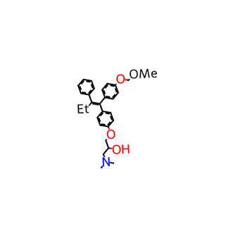 CCC(=C(c1ccc(OCOC)cc1)c1ccc(OCC(O)CN(C)C)cc1)c1ccccc1